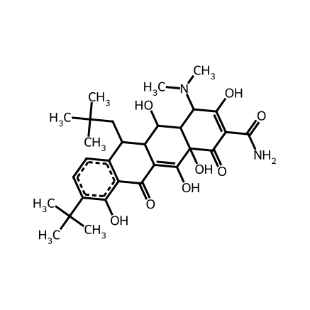 CN(C)C1C(O)=C(C(N)=O)C(=O)C2(O)C(O)=C3C(=O)c4c(ccc(C(C)(C)C)c4O)C(CC(C)(C)C)C3C(O)C12